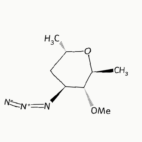 CO[C@@H]1[C@@H](N=[N+]=[N-])C[C@H](C)O[C@H]1C